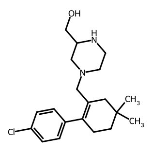 CC1(C)CCC(c2ccc(Cl)cc2)=C(CN2CCNC(CO)C2)C1